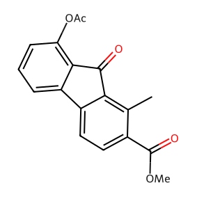 COC(=O)c1ccc2c(c1C)C(=O)c1c(OC(C)=O)cccc1-2